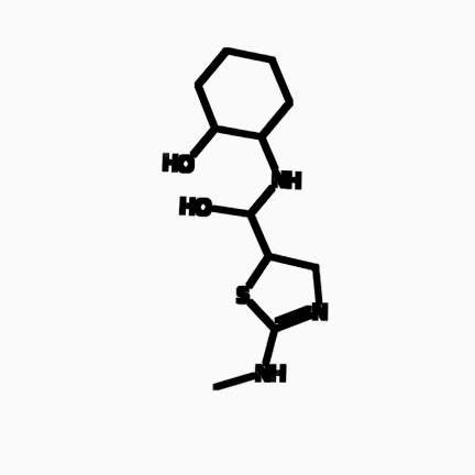 CNC1=NCC(C(O)NC2CCCCC2O)S1